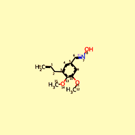 C=CCc1cc(/C=N/O)cc(OC)c1OC